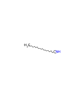 [CH2]CCCCCCCCCCCCCCCCCC1CCNCC1